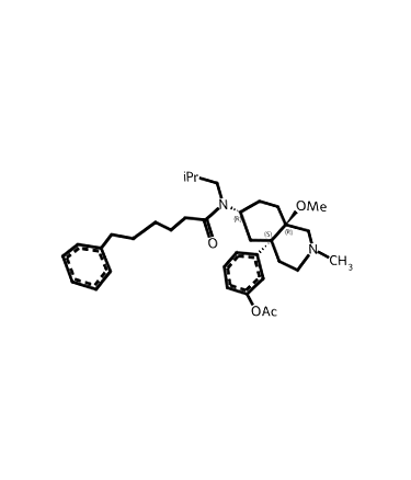 CO[C@]12CC[C@@H](N(CC(C)C)C(=O)CCCCCc3ccccc3)C[C@]1(c1cccc(OC(C)=O)c1)CCN(C)C2